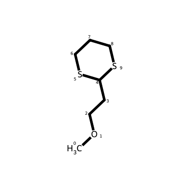 COCCC1SCCCS1